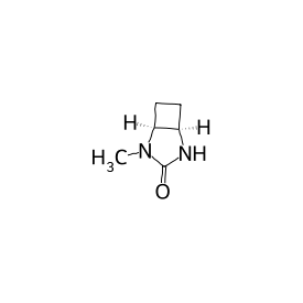 CN1C(=O)N[C@@H]2CC[C@@H]21